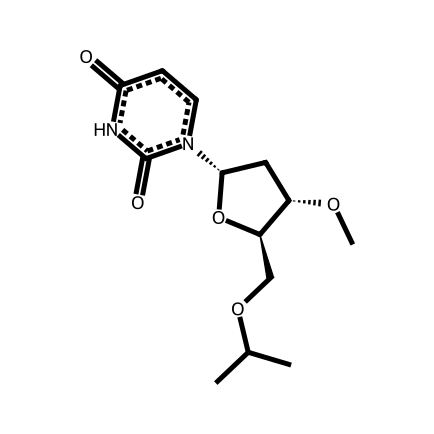 CO[C@H]1C[C@@H](n2ccc(=O)[nH]c2=O)O[C@@H]1COC(C)C